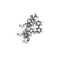 C=CC1(O)C[C@]1(NC(=O)[C@@H]1C[C@@H](Oc2nccc(-c3ccccn3)n2)CN1C(=O)[C@@H](NC(=O)OC)C(C)(C)C)C(=O)NS(=O)(=O)C1CC1